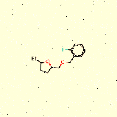 CCC1CCC(COCc2ccccc2F)O1